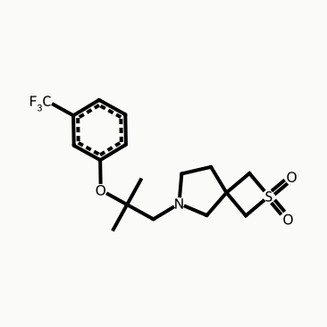 CC(C)(CN1CCC2(C1)CS(=O)(=O)C2)Oc1cccc(C(F)(F)F)c1